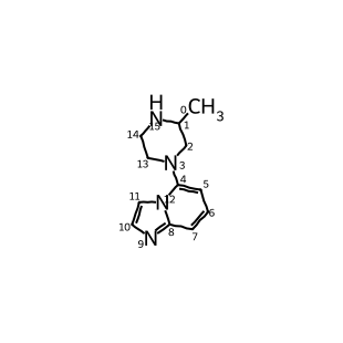 CC1CN(c2cccc3nccn23)CCN1